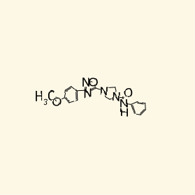 COc1ccc(-c2noc(N3CCN(C(=O)Nc4ccccc4)CC3)n2)cc1